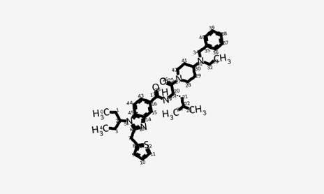 CCC(CC)n1c(Cc2cccs2)nc2cc(C(=O)N[C@@H](CC(C)C)C(=O)N3CCC(N(CC)Cc4ccccc4)CC3)ccc21